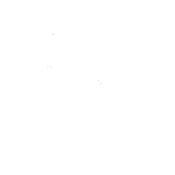 CCCOC(=O)NCCc1cc(-c2ccc(S(C)(=O)=O)cc2)n(-c2ccccc2)c1C